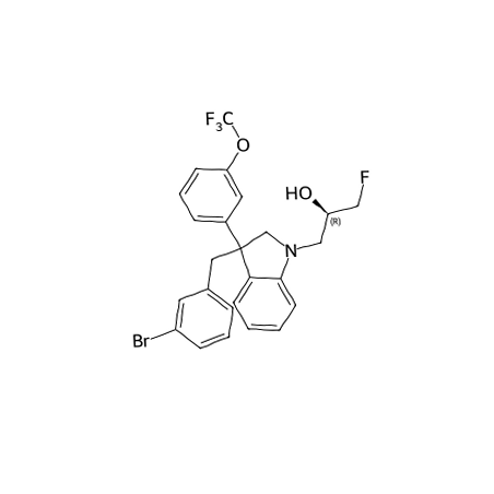 O[C@@H](CF)CN1CC(Cc2cccc(Br)c2)(c2cccc(OC(F)(F)F)c2)c2ccccc21